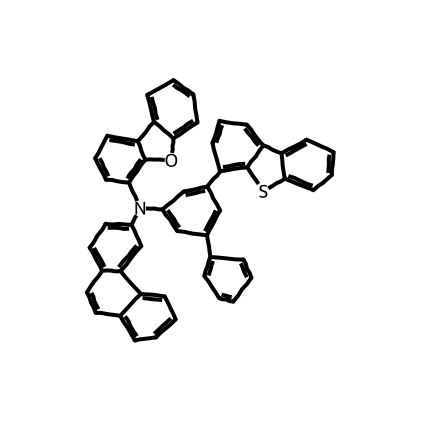 c1ccc(-c2cc(-c3cccc4c3sc3ccccc34)cc(N(c3ccc4ccc5ccccc5c4c3)c3cccc4c3oc3ccccc34)c2)cc1